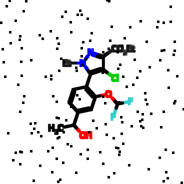 CCOC(=O)c1nn(CC)c(-c2ccc(C(C)O)cc2OC(F)F)c1Cl